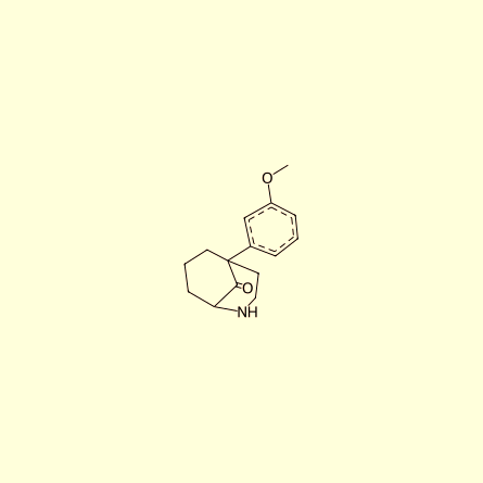 COc1cccc(C23CCCC(NCC2)C3=O)c1